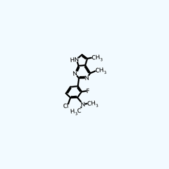 Cc1c[nH]c2nc(-c3ccc(Cl)c(N(C)C)c3F)nc(C)c12